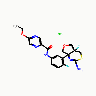 Cl.NC1=NC2(c3cc(NC(=O)c4cnc(OCC(F)(F)F)cn4)ccc3F)COCC2(F)CS1